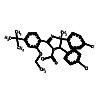 CCOc1cc(C(C)(C)C)ccc1C1=N[C@@](C)(c2ccc(Cl)cc2)C(c2ccc(Cl)cc2)N1C(=O)Cl